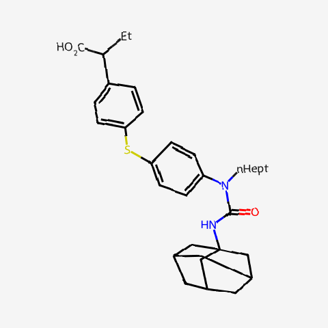 CCCCCCCN(C(=O)NC12CC3CC(CC(C3)C1)C2)c1ccc(Sc2ccc(C(CC)C(=O)O)cc2)cc1